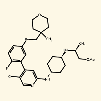 COC[C@H](C)N[C@H]1CC[C@H](Nc2cc(-c3cc(NCC4(C)CCOCC4)ccc3F)c(Cl)cn2)CC1